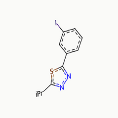 CC(C)c1nnc(-c2cccc(I)c2)s1